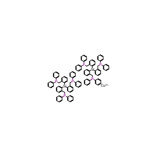 [Cu+2].c1ccc(P(Cc2ccccc2[Si-](c2ccccc2CP(c2ccccc2)c2ccccc2)c2ccccc2CP(c2ccccc2)c2ccccc2)c2ccccc2)cc1.c1ccc(P(Cc2ccccc2[Si-](c2ccccc2CP(c2ccccc2)c2ccccc2)c2ccccc2CP(c2ccccc2)c2ccccc2)c2ccccc2)cc1